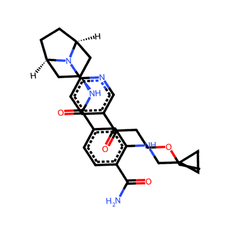 CCOCCC(=O)c1ccc(N2[C@@H]3CC[C@H]2C[C@@H](NC(=O)c2ccc(C(N)=O)c(NCC4CC4)c2)C3)nc1